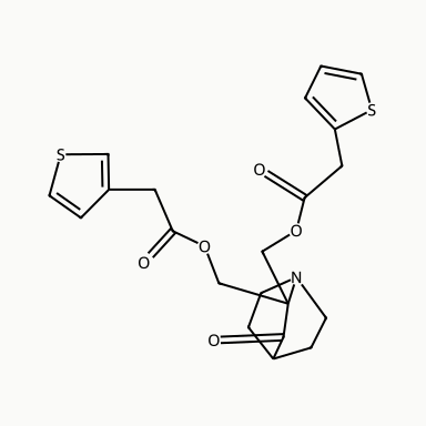 O=C(Cc1ccsc1)OCC1(COC(=O)Cc2cccs2)C(=O)C2CCN1CC2